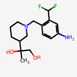 CC(O)(CO)C1CCCN(Cc2ccc(N)cc2C(F)F)C1